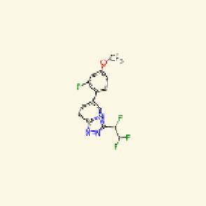 Fc1cc(OC(F)(F)F)ccc1-c1ccc2nnc(C(F)C(F)F)n2c1